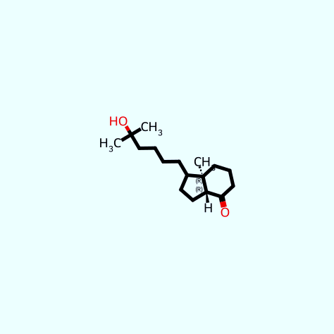 CC(C)(O)CCCCC1CC[C@H]2C(=O)CCC[C@]12C